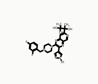 CCn1cc(-c2nc3cnc(C(C)(O)C(C)(C)O)cc3nc2N2CCN(Cc3ccc(F)cc3F)CC2)cn1